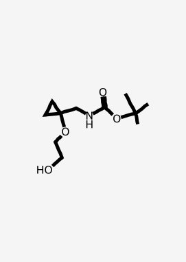 CC(C)(C)OC(=O)NCC1(OCCO)CC1